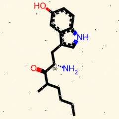 CCCCC(C)C(=O)[C@@H](N)Cc1c[nH]c2ccc(O)cc12